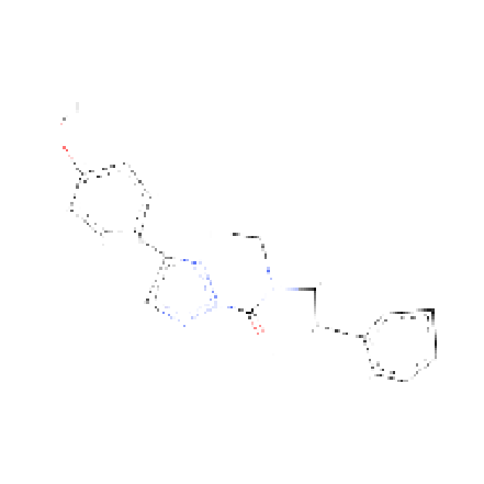 CC(C)(C)CN(CCc1ccccc1)C(=O)n1ncc(-c2ccc(OC(F)(F)F)cc2)n1